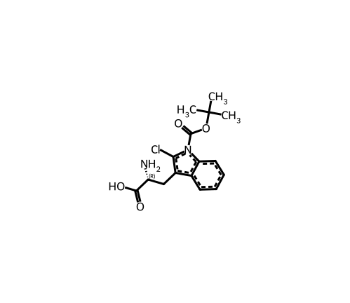 CC(C)(C)OC(=O)n1c(Cl)c(C[C@@H](N)C(=O)O)c2ccccc21